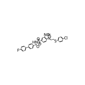 O=C(NS(=O)(=O)c1ccc(NCCSc2ccc(Cl)cc2)c([N+](=O)[O-])c1)c1ccc(-c2ccc(F)cc2)cc1